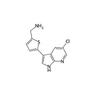 NCc1ccc(-c2c[nH]c3ncc(Cl)cc23)s1